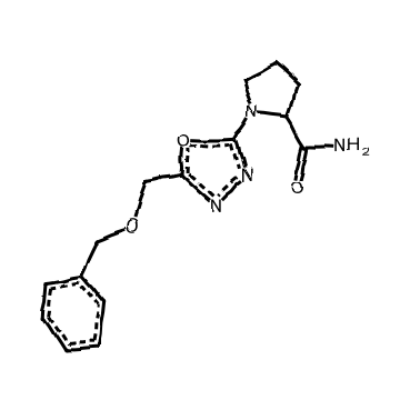 NC(=O)C1CCCN1c1nnc(COCc2ccccc2)o1